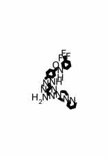 Cc1ccc(C(=O)Nc2cccc(C(F)(F)F)c2)cc1Nc1ncnc2c(N)nc(N3CCCN(c4ccccn4)CC3)nc12